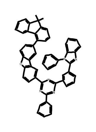 CC1(C)c2ccccc2-c2c(-c3ccc4oc5ccc(-c6nc(-c7ccccc7)nc(-c7cccc(-c8nc9ccccc9n8-c8ccccc8)c7)n6)cc5c4c3)cccc21